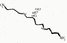 Cl.Cl.Cl.NCCCNCCCCNCCCN